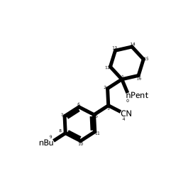 CCCCCC1(CC(C#N)c2ccc(CCCC)cc2)CCCCC1